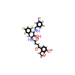 COc1ccc(C(=O)CCC(=O)N[C@@H](Cc2cc(F)cc(F)c2)[C@@H](O)CNCc2cccc(I)c2)c2c1OCC2